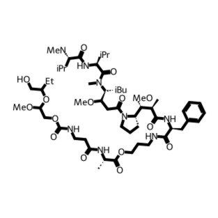 CCC(CO)OC(COC(=O)NCCC(=O)N[C@@H](C)C(=O)OCCCNC(=O)[C@H](Cc1ccccc1)NC(=O)[C@H](C)[C@@H](OC)[C@@H]1CCCN1C(=O)CC(OC)[C@H]([C@@H](C)CC)N(C)C(=O)[C@@H](NC(=O)[C@@H](NC)C(C)C)C(C)C)OC